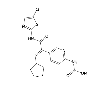 O=C(O)Nc1ccc(/C(=C\C2CCCC2)C(=O)Nc2ncc(Cl)s2)cn1